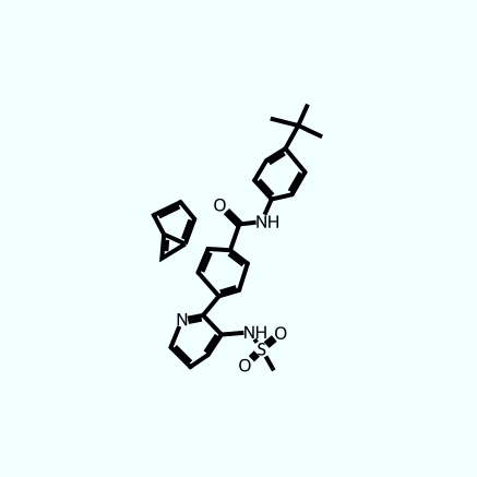 CC(C)(C)c1ccc(NC(=O)c2ccc(-c3ncccc3NS(C)(=O)=O)cc2)cc1.c1cc2cc-2c1